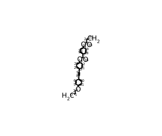 C=CCOc1ccc(C#Cc2ccc(OC(=O)c3ccc(OC(=O)C=C)cc3)cc2)cc1